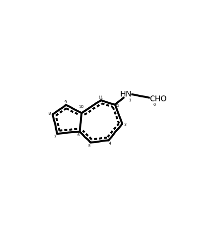 O=CNc1cccc2cccc-2c1